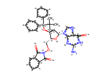 CC(C)(C)[Si](O[C@H]1C[C@H](n2cnc3c(=O)[nH]c(N)nc32)O[C@@H]1CON1C(=O)c2ccccc2C1=O)(c1ccccc1)c1ccccc1